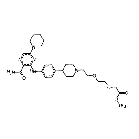 CC(C)(C)OC(=O)COCCOCCN1CCC(c2ccc(Nc3nc(N4CCCCC4)cnc3C(N)=O)cc2)CC1